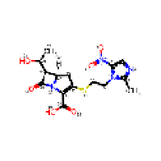 Cc1ncc([N+](=O)[O-])n1CCSC1=C(C(=O)O)N2C(=O)[C@@H]([C@H](C)O)[C@H]2C1